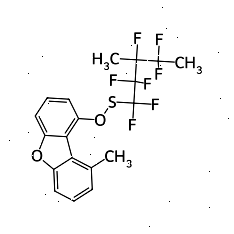 Cc1cccc2oc3cccc(OSC(F)(F)C(F)(F)C(C)(F)C(C)(F)F)c3c12